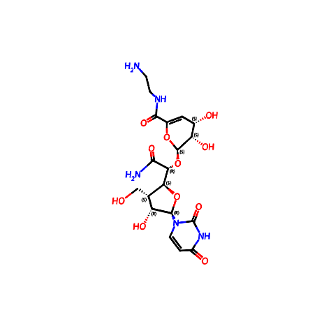 NCCNC(=O)C1=C[C@H](O)[C@H](O)[C@@H](O[C@@H](C(N)=O)[C@H]2O[C@@H](n3ccc(=O)[nH]c3=O)[C@H](O)[C@@H]2CO)O1